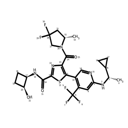 C[C@H](Nc1cc(C(F)(F)F)c(-c2sc(C(=O)N[C@@H]3CC[C@@H]3O)nc2C(=O)N2CC(F)(F)C[C@@H]2C)cn1)C1CC1